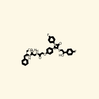 O=C(O)C[C@@H](Cc1ccccc1)NC(=O)CNC(=O)COc1ccc([C@@H]2[C@@H](SCC(O)c3ccc(F)cc3)C(=O)N2c2ccc(F)cc2)cc1